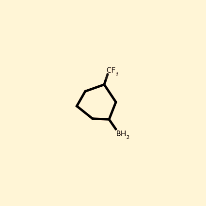 BC1CCCC(C(F)(F)F)C1